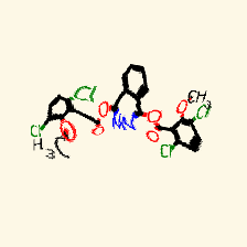 COc1c(Cl)ccc(Cl)c1C(=O)Oc1nnc(OC(=O)c2c(Cl)ccc(Cl)c2OC)c2ccccc12